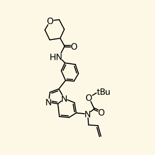 C=CCN(C(=O)OC(C)(C)C)c1ccc2ncc(-c3cccc(NC(=O)C4CCOCC4)c3)n2c1